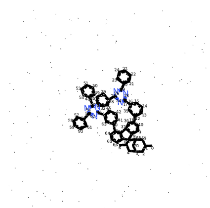 CC1CC2CC(C)C3(c4ccc(-c5cccc(-c6nc(-c7ccccc7)nc(-c7ccccc7)n6)c5)cc4-c4c(-c5cccc(-c6nc(-c7ccccc7)nc(-c7ccccc7)n6)c5)cccc43)C(C1)C2